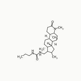 CCCNC(=O)NCC1C(C)C[C@H]2[C@@H]3CCC4N(C)C(=O)CC[C@]4(C)[C@@H]3CC[C@]12C